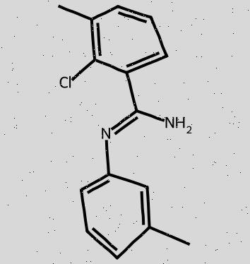 Cc1cccc(N=C(N)c2cccc(C)c2Cl)c1